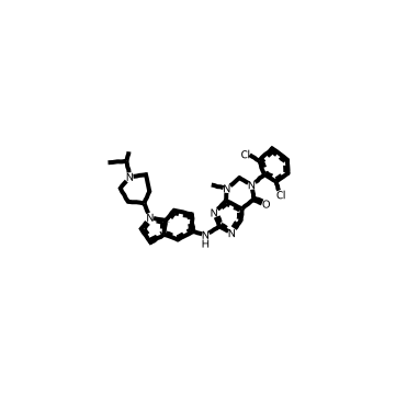 CC(C)N1CCC(n2ccc3cc(Nc4ncc5c(n4)N(C)CN(c4c(Cl)cccc4Cl)C5=O)ccc32)CC1